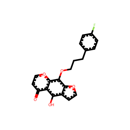 O=c1ccoc2c(OCCCc3ccc(F)cc3)c3occc3c(O)c12